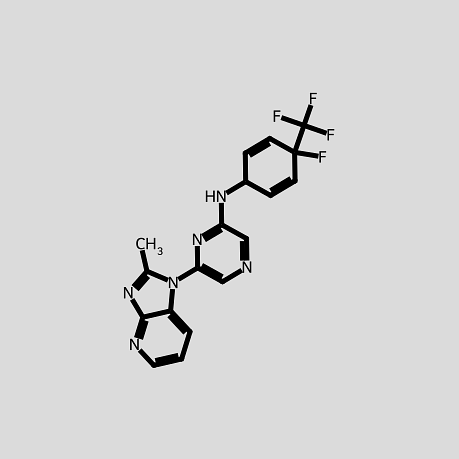 Cc1nc2ncccc2n1-c1cncc(NC2C=CC(F)(C(F)(F)F)C=C2)n1